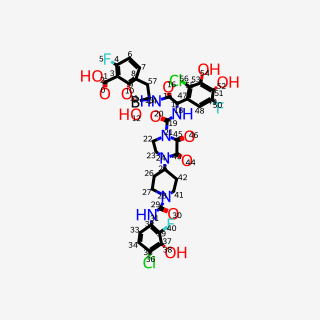 O=C(O)c1c(F)ccc2c1OB(O)[C@@H](NC(=O)C(NC(=O)N1CCN(C3CCN(C(=O)Nc4ccc(Cl)c(O)c4F)CC3)C(=O)C1=O)c1cc(F)c(O)c(O)c1Cl)C2